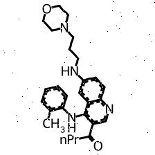 CCCC(=O)c1cnc2ccc(NCCCN3CCOCC3)cc2c1Nc1ccccc1C